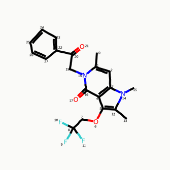 Cc1cc2c(c(OCC(F)(F)F)c(C)n2C)c(=O)n1CC(=O)c1ccccc1